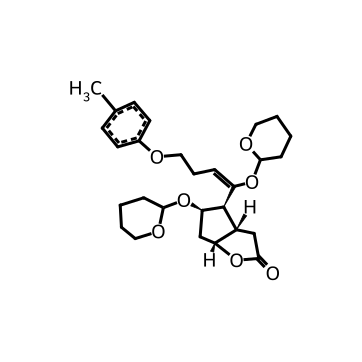 Cc1ccc(OCC/C=C(/OC2CCCCO2)[C@H]2[C@@H]3CC(=O)O[C@@H]3C[C@H]2OC2CCCCO2)cc1